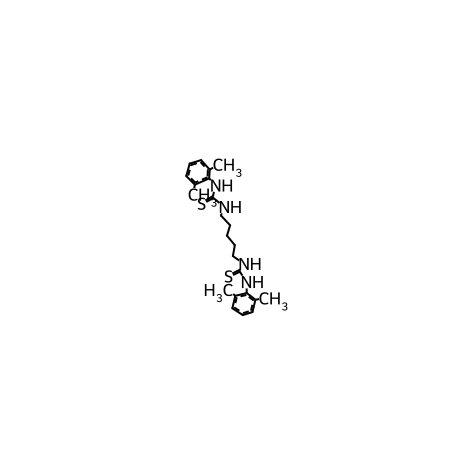 Cc1cccc(C)c1NC(=S)NCCCCCNC(=S)Nc1c(C)cccc1C